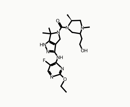 CCOc1ncc(F)c(Nc2n[nH]c3c2CN(C(=O)N2CC(CCO)N(C)C[C@@H]2C)C3(C)C)n1